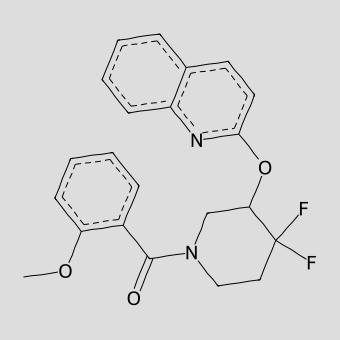 COc1ccccc1C(=O)N1CCC(F)(F)C(Oc2ccc3ccccc3n2)C1